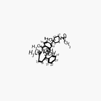 CC(=O)N1CCC(O)(c2ccc(C(C)N3[C@@H](C)CC[C@H](c4ccccc4)S3(O)O)c(F)c2)CC1